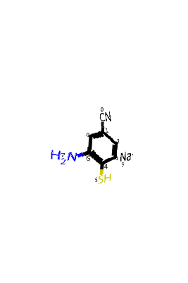 N#Cc1ccc(S)c(N)c1.[Na]